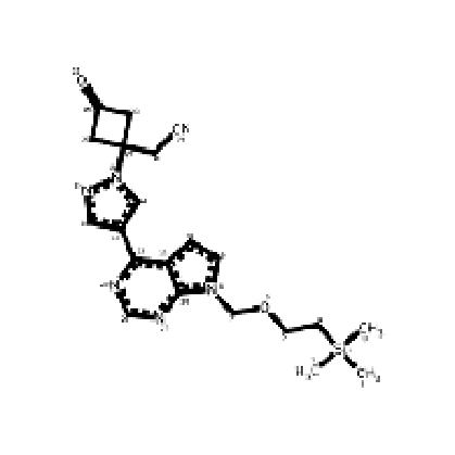 C[Si](C)(C)CCOCn1ccc2c(-c3cnn(C4(CC#N)CC(=O)C4)c3)ncnc21